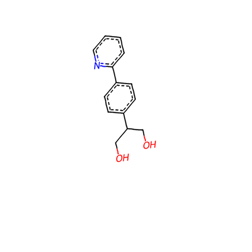 OCC(CO)c1ccc(-c2ccccn2)cc1